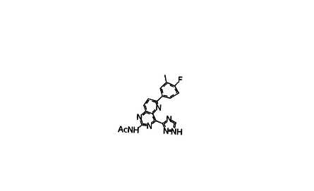 CC(=O)Nc1nc(-c2nc[nH]n2)c2nc(-c3ccc(F)c(C)c3)ccc2n1